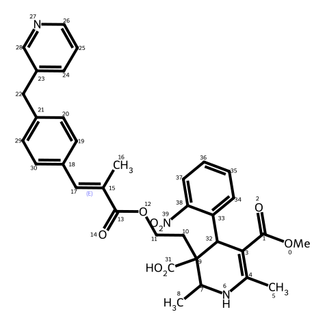 COC(=O)C1=C(C)NC(C)C(CCOC(=O)/C(C)=C/c2ccc(Cc3cccnc3)cc2)(C(=O)O)C1c1ccccc1[N+](=O)[O-]